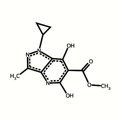 COC(=O)c1c(O)nc2c(C)nn(C3CC3)c2c1O